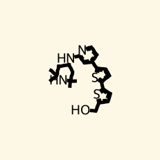 CC1(C)CC(Nc2cc(-c3ccc(-c4ccc(CO)s4)s3)ccn2)CC(C)(C)N1